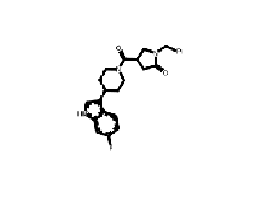 CC(C)CN1CC(C(=O)N2CCC(c3c[nH]c4cc(F)ccc34)CC2)CC1=O